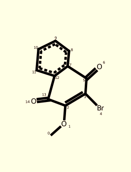 COC1=C(Br)C(=O)c2ccccc2C1=O